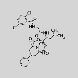 CC(C)C[C@H](NC(=O)CNC(=O)c1cc(Cl)ccc1Cl)B1OC(=O)[C@H]2CN(c3ccccc3)C[C@@H](C(=O)O1)N2C